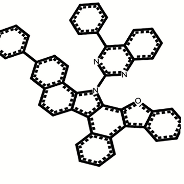 c1ccc(-c2ccc3c(ccc4c5c6ccccc6c6c7ccccc7oc6c5n(-c5nc(-c6ccccc6)c6ccccc6n5)c34)c2)cc1